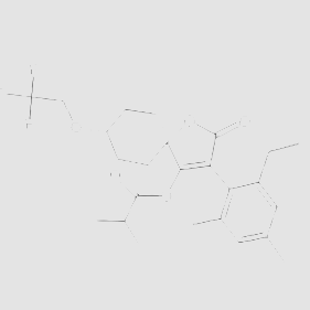 CCc1cc(C)cc(C)c1C1=C(OC(=O)C(C)C)[C@]2(CC[C@@H](OCC(F)(F)F)CC2)OC1=O